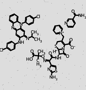 CC(C)(O/N=C(\C(=O)N[C@@H]1C(=O)N2C(C(=O)[O-])=C(C[n+]3ccccc3)CS[C@H]12)c1csc(N)n1)C(=O)O.CC(C)/N=c1\cc2n(-c3ccc(Cl)cc3)c3ccccc3nc-2cc1Nc1ccc(Cl)cc1.NC(=O)c1cccnc1